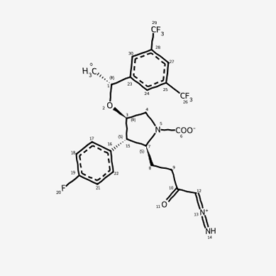 C[C@@H](O[C@H]1CN(C(=O)[O-])[C@@H](CCC(=O)C=[N+]=N)[C@@H]1c1ccc(F)cc1)c1cc(C(F)(F)F)cc(C(F)(F)F)c1